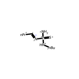 CCC/C=N/P(N)(=S)NCCCC